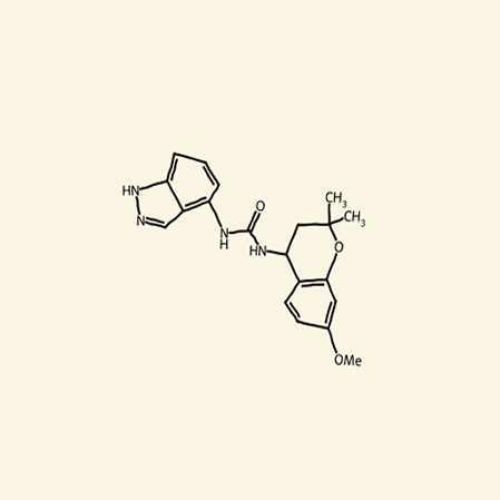 COc1ccc2c(c1)OC(C)(C)CC2NC(=O)Nc1cccc2[nH]ncc12